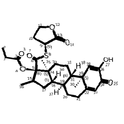 CCC(=O)O[C@]1(C(=O)S[C@H]2CCOC2=O)C(C)C[C@H]2[C@@H]3CCC4=CC(=O)C(O)=C[C@]4(C)[C@H]3CC[C@@]21C